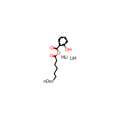 CCCCCCCCCCCCCCCC(=O)OC(=O)c1ccccc1O.[LiH].[LiH]